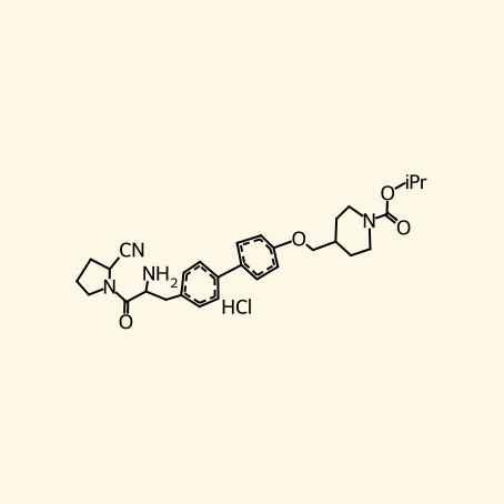 CC(C)OC(=O)N1CCC(COc2ccc(-c3ccc(CC(N)C(=O)N4CCCC4C#N)cc3)cc2)CC1.Cl